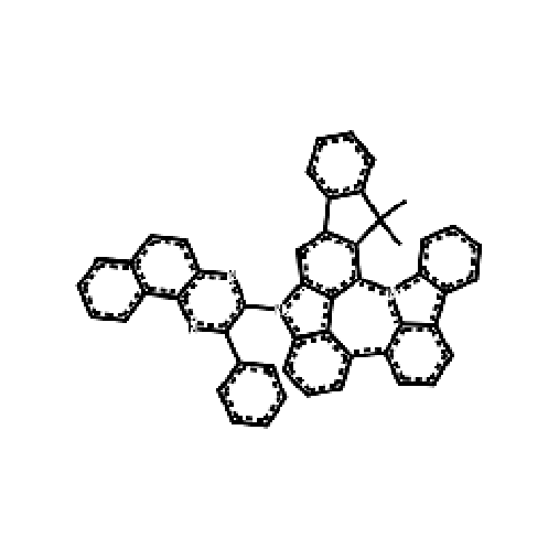 CC1(C)c2ccccc2-c2cc3c4c5c(cccc5n3-c3nc5ccc6ccccc6c5nc3-c3ccccc3)c3cccc5c6ccccc6n(c4c21)c35